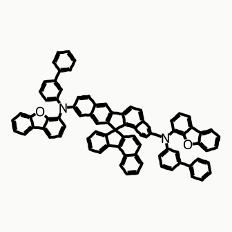 c1ccc(-c2cccc(N(c3ccc4cc5c(cc4c3)C3(c4ccccc4-c4c3ccc3ccccc43)c3c-5ccc4cc(N(c5cccc(-c6ccccc6)c5)c5cccc6c5oc5ccccc56)ccc34)c3cccc4c3oc3ccccc34)c2)cc1